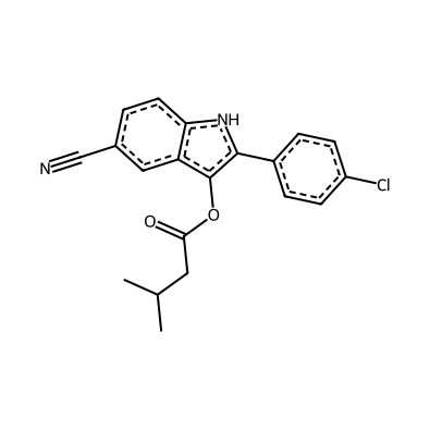 CC(C)CC(=O)Oc1c(-c2ccc(Cl)cc2)[nH]c2ccc(C#N)cc12